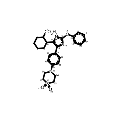 O=C(O)C1CCCCC1c1nc(Oc2ccccc2)sc1-c1ccc(N2CCS(=O)(=O)CC2)cc1